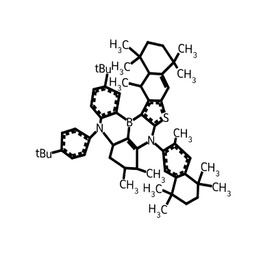 Cc1cc2c(cc1N1C3=C4B(c5cc(C(C)(C)C)ccc5N(c5ccc(C(C)(C)C)cc5)C4CC(C)C3C)c3c1sc1c3C(C)C3C(=C1)C(C)(C)CCC3(C)C)C(C)(C)CCC2(C)C